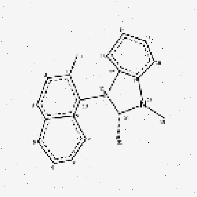 Cc1ccc2ccccc2c1N1c2ccccc2N(C)[C@@H]1C